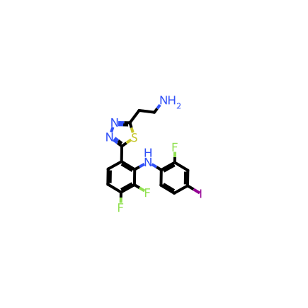 NCCc1nnc(-c2ccc(F)c(F)c2Nc2ccc(I)cc2F)s1